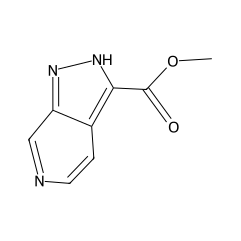 COC(=O)c1[nH]nc2cnccc12